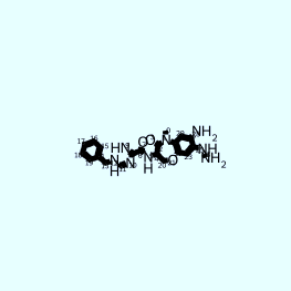 CN1C(=O)C(NC(=O)C(=N)/N=C\NCc2ccccc2)COc2cc(NN)c(N)cc21